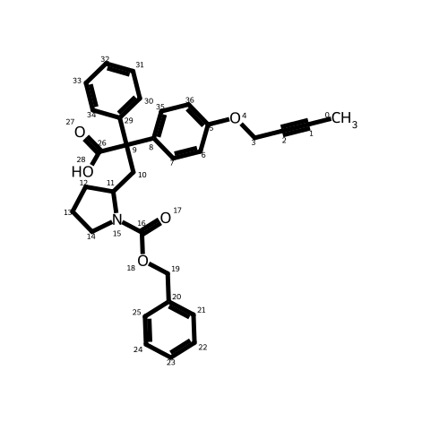 CC#CCOc1ccc(C(CC2CCCN2C(=O)OCc2ccccc2)(C(=O)O)c2ccccc2)cc1